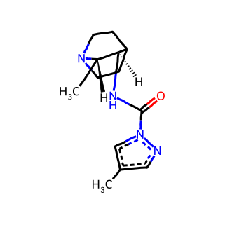 Cc1cnn(C(=O)N[C@@H]2C3CCN(CC3)[C@H]2C)c1